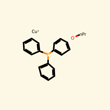 CCC[O-].[Cu+].c1ccc(P(c2ccccc2)c2ccccc2)cc1